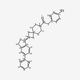 CCc1ccc(CC(=O)N2CCC3(CC2)CN([C@@H]2CCc4cc(-c5ncccn5)ccc42)C3)nc1